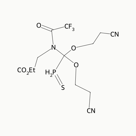 CCOC(=O)CN(C(=O)C(F)(F)F)C(OCCC#N)(OCCC#N)[PH2]=S